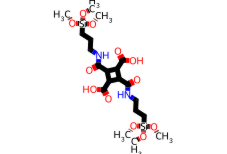 CO[Si](CCCNC(=O)C1C(C(=O)O)C(C(=O)NCCC[Si](OC)(OC)OC)C1C(=O)O)(OC)OC